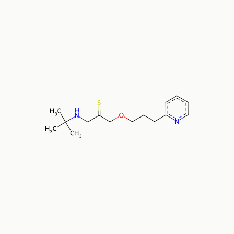 CC(C)(C)NCC(=S)COCCCc1ccccn1